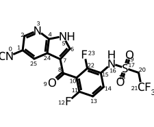 [C-]#[N+]c1cnc2[nH]cc(C(=O)c3c(F)ccc(NS(=O)(=O)CC(F)(F)F)c3F)c2c1